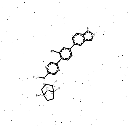 CN(c1cnc(-c2ccc(-c3ccc4[nH]ncc4c3)cc2O)cn1)[C@H]1C[C@@H]2CC[C@@H](N2)[C@H]1F